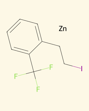 FC(F)(F)c1ccccc1CCI.[Zn]